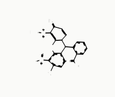 N=C1C=CC2C(=C1S(=O)(=O)O)Oc1c(ccc(N)c1S(=O)(=O)O)C2c1ccccc1C(=O)O